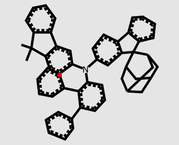 CC1(C)c2ccccc2-c2cc(N(c3ccc4c(c3)C3(c5ccccc5-4)C4CC5CC(C4)CC3C5)c3cccc(-c4ccccc4)c3-c3ccccc3)ccc21